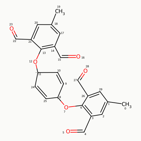 Cc1cc(C=O)c(O[C]2C=C[C](Oc3c(C=O)cc(C)cc3C=O)C=C2)c(C=O)c1